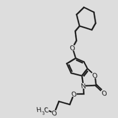 COCCOCn1c(=O)oc2cc(OCCC3CCCCC3)ccc21